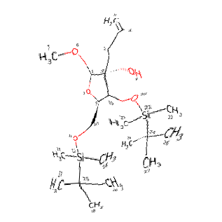 C=CC[C@]1(O)C(OC)O[C@H](CO[Si](C)(C)C(C)(C)C)C1O[Si](C)(C)C(C)(C)C